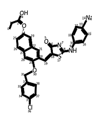 CCC(=O)O.O=C1N=C(Nc2cc[c]([Na])cc2)SC1=Cc1cc2ccccc2cc1OCc1ccc(Cl)cc1